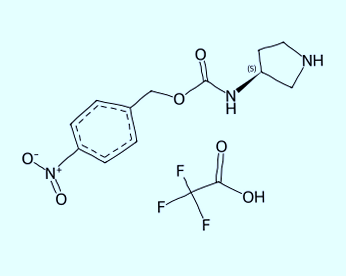 O=C(N[C@H]1CCNC1)OCc1ccc([N+](=O)[O-])cc1.O=C(O)C(F)(F)F